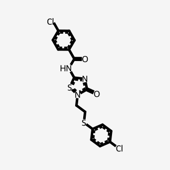 O=C(Nc1nc(=O)n(CCSc2ccc(Cl)cc2)s1)c1ccc(Cl)cc1